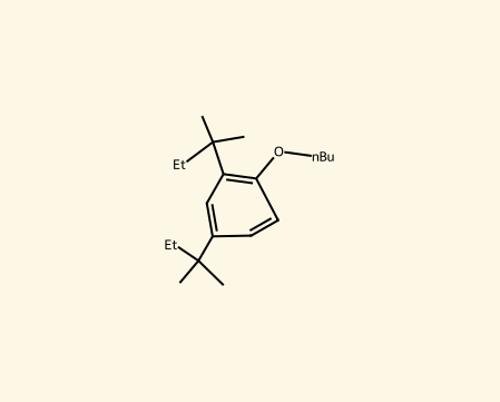 CCCCOc1ccc(C(C)(C)CC)cc1C(C)(C)CC